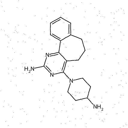 Nc1nc2c(c(N3CCC(N)CC3)n1)CCCc1ccccc1-2